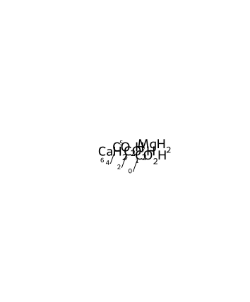 CC(=O)O.CC(=O)O.CC(=O)O.[CaH2].[MgH2]